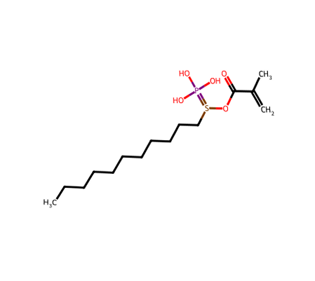 C=C(C)C(=O)OS(CCCCCCCCCCC)=P(O)(O)O